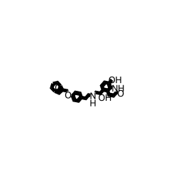 O=c1ccc2c([C@@H](O)CNCCc3ccc(OCC45CC6CC(CC4C6)C5)cc3)ccc(O)c2[nH]1